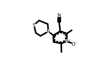 Cc1cc(N2CCSCC2)c(C#N)c(C)[n+]1[O-]